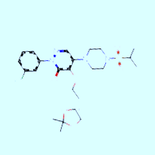 CC(C)S(=O)(=O)N1CCN(c2cnn(-c3cccc(Cl)c3)c(=O)c2OCC[C@@H]2COC(C)(C)O2)CC1